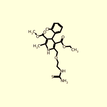 CCOC(=O)C1=C(COCCNC(N)=S)NC(C)=C(C(=O)OC)C1c1ccccc1Cl